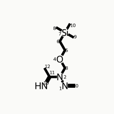 C=NN(COCC[Si](C)(C)C)C(C)=N